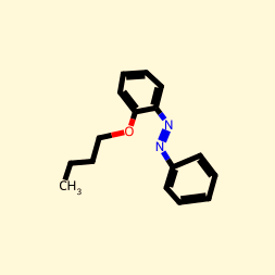 CCCCOc1ccccc1N=Nc1ccccc1